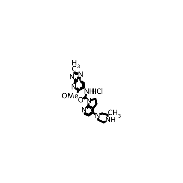 COc1nc2nc(C)nn2cc1NC(=O)N1CCc2c(N3CCN[C@H](C)C3)ccnc21.Cl